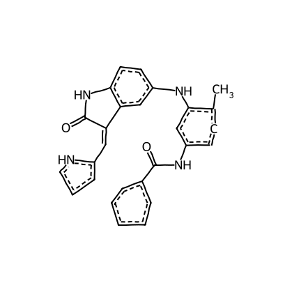 Cc1ccc(NC(=O)c2ccccc2)cc1Nc1ccc2c(c1)C(=Cc1ccc[nH]1)C(=O)N2